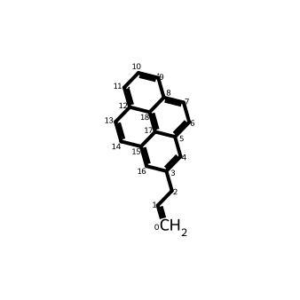 C=CCc1cc2ccc3[c]c[c]c4ccc(c1)c2c34